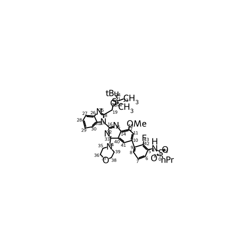 CCCS(=O)(=O)Nc1cccc(-c2cc(OC)c3nc(-n4c(CO[Si](C)(C)C(C)(C)C)nc5ccccc54)nc(N4CCOCC4)c3c2)c1F